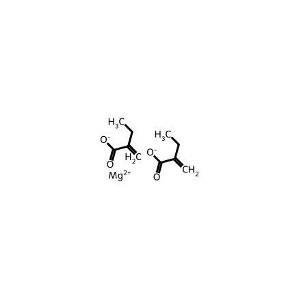 C=C(CC)C(=O)[O-].C=C(CC)C(=O)[O-].[Mg+2]